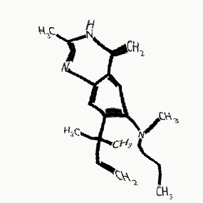 C=CC(C)(C)c1cc2c(cc1N(C)CCC)C(=C)NC(C)=N2